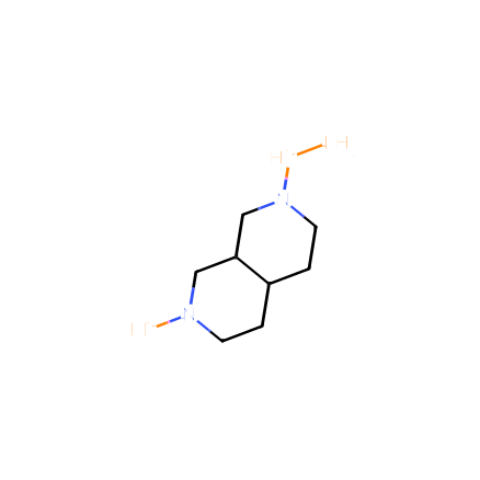 PPN1CCC2CCN(P)CC2C1